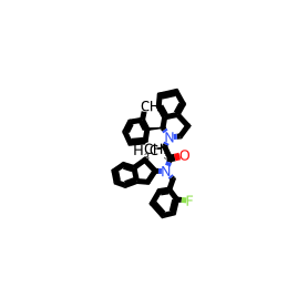 Cc1cccc(C)c1[C@H]1c2ccccc2CCN1[C@@H](C)C(=O)N(Cc1ccccc1F)C1Cc2ccccc2C1